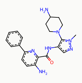 Cn1ncc(NC(=O)c2nc(-c3ccccc3)ccc2N)c1N1CCC(N)CC1